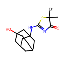 CCC1(C)SC(NC23CC4CC(CC(O)(C4)C2)C3)=NC1=O